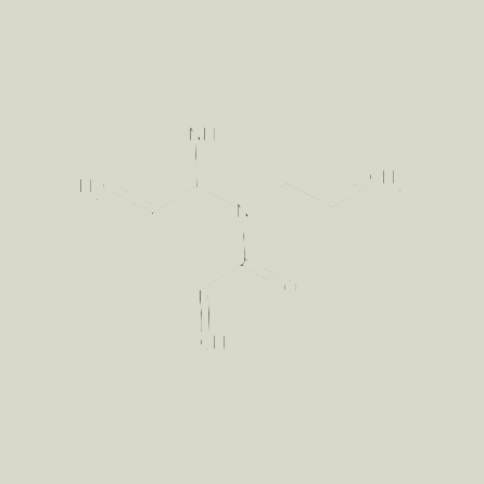 C=CCN(C(=O)C=C)C(N)C=C